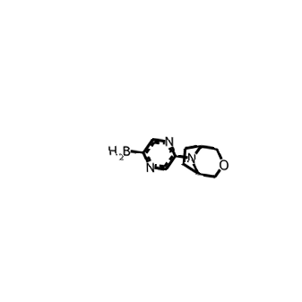 Bc1cnc(N2C3CCC2COC3)cn1